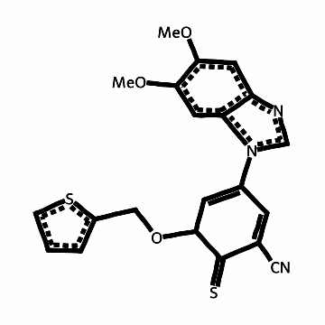 COc1cc2ncn(C3=CC(OCc4cccs4)C(=S)C(C#N)=C3)c2cc1OC